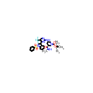 CNC(=O)[C@@H]1C[C@@H](Nc2ncc(C(F)(F)F)c(-c3cn(S(=O)(=O)c4ccccc4)c4ccccc34)n2)CN(C(=O)OC(C)(C)C)C1